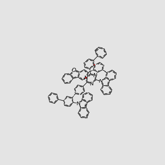 c1ccc(-c2cccc(-c3nc(-c4ccc(-c5cc(-c6ccccc6)ccc5-n5c6ccccc6c6ccccc65)cc4)nc(-n4c5ccccc5c5cccc(-c6cccc(-c7ccc8c(c7)oc7ccccc78)c6)c54)n3)c2)cc1